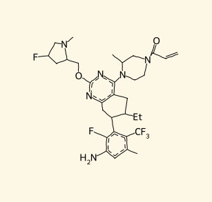 C=CC(=O)N1CCN(c2nc(OCC3CC(F)CN3C)nc3c2CC(CC)C(c2c(F)c(N)cc(C)c2C(F)(F)F)C3)C(C)C1